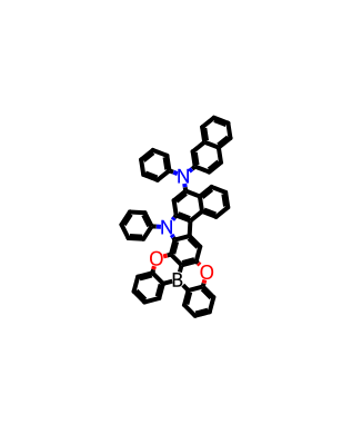 c1ccc(N(c2ccc3ccccc3c2)c2cc3c(c4ccccc24)c2cc4c5c(c2n3-c2ccccc2)Oc2ccccc2B5c2ccccc2O4)cc1